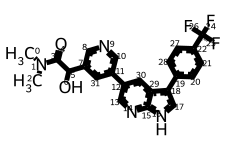 CN(C)C(=O)C(O)c1cncc(-c2cnc3[nH]cc(-c4ccc(C(F)(F)F)cc4)c3c2)c1